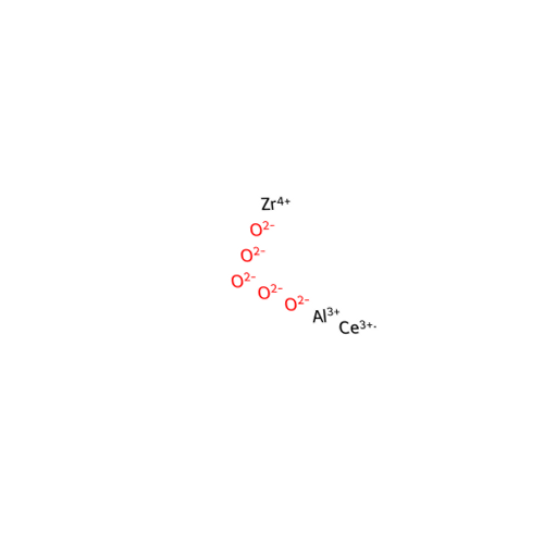 [Al+3].[Ce+3].[O-2].[O-2].[O-2].[O-2].[O-2].[Zr+4]